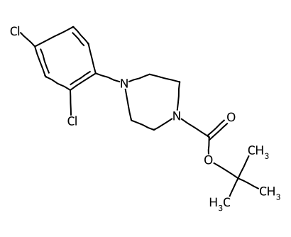 CC(C)(C)OC(=O)N1CCN(c2ccc(Cl)cc2Cl)CC1